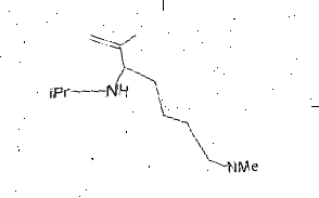 C=C(C)C(CCCCNC)NC(C)C